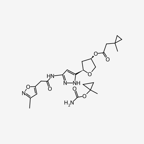 CC1(OC(N)=O)CC1.Cc1cc(CC(=O)Nc2cc([C@H]3C[C@@H](OC(=O)CC4(C)CC4)CO3)[nH]n2)on1